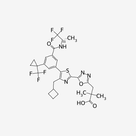 C[C@H](NC(=O)c1cc(-c2sc(-c3nnc(CC(C)(C)C(=O)O)o3)nc2CC2CCC2)cc(C2(C(F)(F)F)CC2)c1)C(F)(F)F